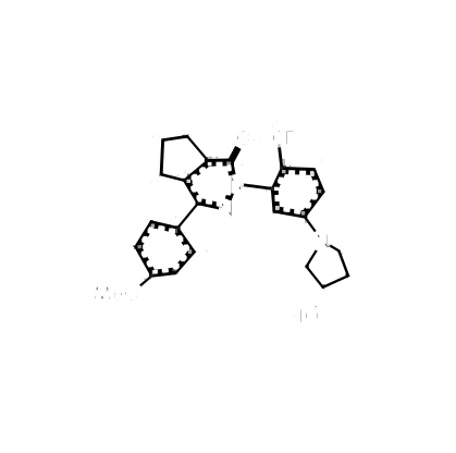 COc1ccc(-c2nn(-c3cc(N4CC[C@H](O)C4)ccc3C(F)(F)F)c(=O)c3c2CCC3)cc1